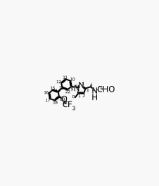 Cc1cc(CNC=O)nn1-c1cccc(-c2ccccc2OC(F)(F)F)c1